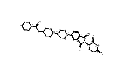 O=C1CCC(N2C(=O)c3ccc(N4CCN(C5CCC(CC(=O)N6CCCCC6)CC5)CC4)cc3C2=O)C(=O)N1